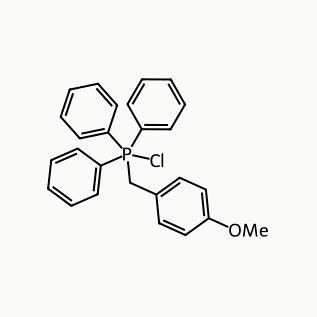 COc1ccc(CP(Cl)(c2ccccc2)(c2ccccc2)c2ccccc2)cc1